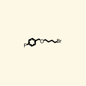 Fc1ccc(COCCCCBr)cc1